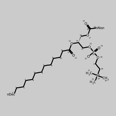 CCCCCCCCCCCCCCCCCCCCCC(=O)O[C@H](COC(=O)CCCCCCCCC)COP(=O)([O-])OCC[N+](C)(C)C